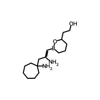 N/C(=C\B1CCCC(CCO)O1)CC1(N)CCCCCC1